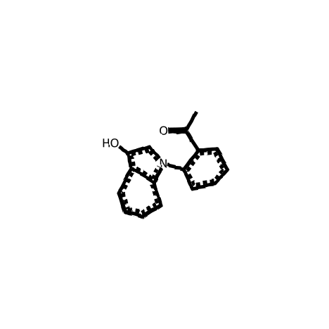 CC(=O)c1ccccc1-n1cc(O)c2ccccc21